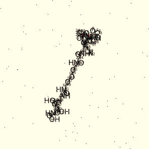 COc1cccc(OC)c1/C(=C/C(=N)C(=O)NC1(C(=O)O)C2CC3CC(C2)CC1C3)Nc1ccc(C(=O)N(CCCNC(=O)CCC(=O)NCCCOCCOCCOCCCNC(=O)CNCCN(CCN(CCNCC(=O)O)CC(=O)O)CC(=O)O)CCCN(C)C)cc1C(C)C